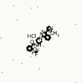 Cl.Cn1nccc1-c1nnc(N2CCC(NC(=O)c3ccccc3OC(F)(F)F)CC2)c2ccccc12